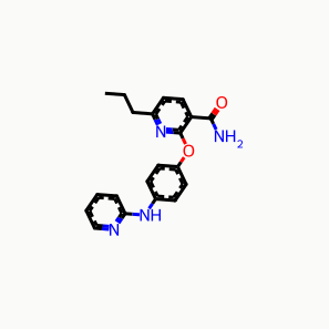 CCCc1ccc(C(N)=O)c(Oc2ccc(Nc3ccccn3)cc2)n1